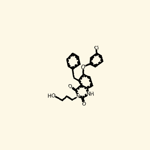 O=c1[nH]c2ccc(Oc3cccc(Cl)c3)c(Cc3ccccc3)c2c(=O)n1CCCO